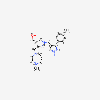 Cc1ccc(-c2n[nH]cc2CN2C[C@@H](CN3CCCN(C)CC3)[C@@H](CO)C2)cc1